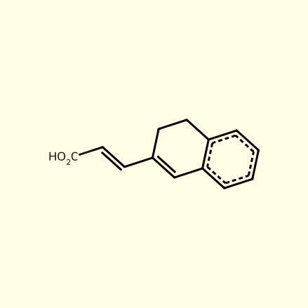 O=C(O)C=CC1=Cc2ccccc2CC1